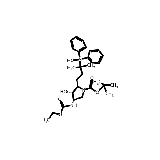 CCOC(=O)N[C@H]1CN(C(=O)OC(C)(C)C)[C@H](CCC(C)(C)[Si](O)(c2ccccc2)c2ccccc2)[C@H]1O